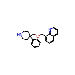 c1ccc(C2(COCc3cccc4cccnc34)CCNCC2)cc1